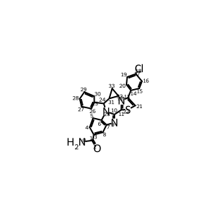 NC(=O)c1ccc2c(c1)nc(-c1nc(-c3ccc(Cl)cc3)cs1)n2C(c1ccccc1)C1CC1